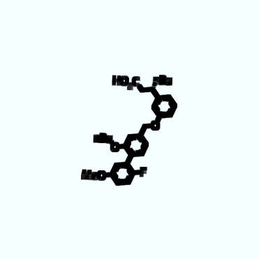 CCCCOc1cc(COc2cccc([C@@H](CCCC)CC(=O)O)c2)ccc1-c1cc(OC)ccc1F